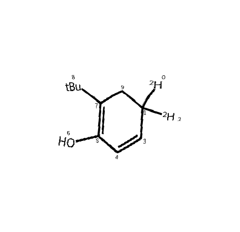 [2H]C1([2H])C=CC(O)=C(C(C)(C)C)C1